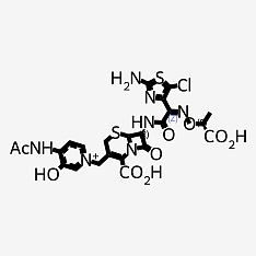 CC(=O)Nc1cc[n+](CC2=C(C(=O)O)N3C(=O)[C@@H](NC(=O)/C(=N\O[C@@H](C)C(=O)O)c4nc(N)sc4Cl)C3SC2)cc1O